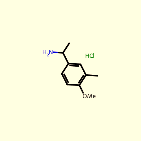 COc1ccc(C(C)N)cc1C.Cl